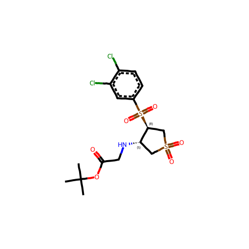 CC(C)(C)OC(=O)CN[C@H]1CS(=O)(=O)C[C@@H]1S(=O)(=O)c1ccc(Cl)c(Cl)c1